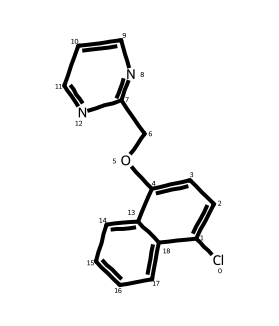 Clc1ccc(OCc2ncccn2)c2ccccc12